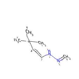 C=NN/C=C\C(C)(C)C